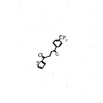 O=C(CCC(=O)c1cccs1)c1ccc(C(F)(F)F)cc1